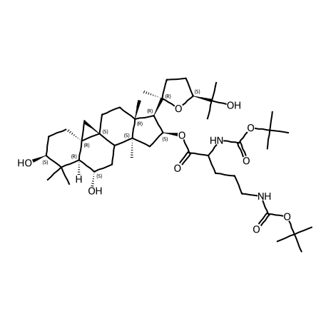 CC(C)(C)OC(=O)NCCCC(NC(=O)OC(C)(C)C)C(=O)O[C@H]1C[C@@]2(C)C3C[C@H](O)[C@H]4C(C)(C)[C@@H](O)CC[C@@]45C[C@@]35CC[C@]2(C)[C@H]1[C@@]1(C)CC[C@@H](C(C)(C)O)O1